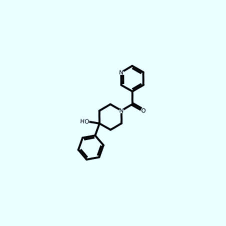 O=C(c1cccnc1)N1CCC(O)(c2ccccc2)CC1